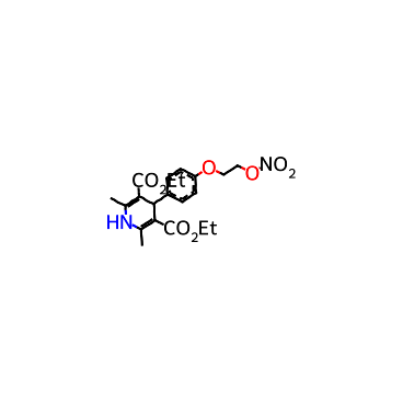 CCOC(=O)C1=C(C)NC(C)=C(C(=O)OCC)C1c1ccc(OCCO[N+](=O)[O-])cc1